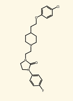 O=C1N(CCN2CCC(CCOc3ccc(Cl)cc3)CC2)CCN1c1ccc(F)cc1